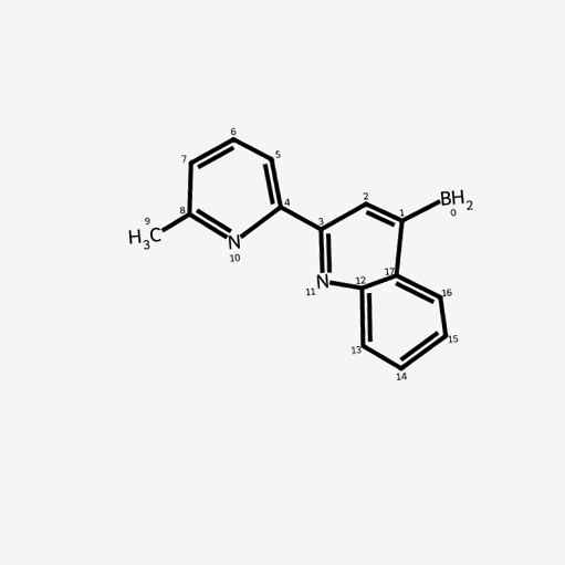 Bc1cc(-c2cccc(C)n2)nc2ccccc12